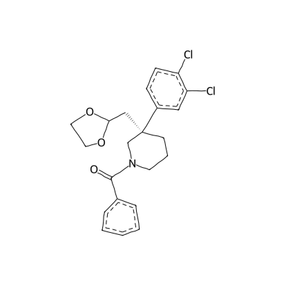 O=C(c1ccccc1)N1CCC[C@](CC2OCCO2)(c2ccc(Cl)c(Cl)c2)C1